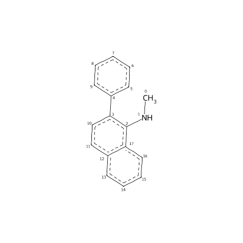 CNc1c(-c2ccccc2)ccc2ccccc12